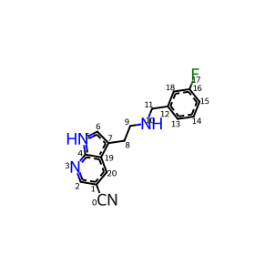 N#Cc1cnc2[nH]cc(CCNCc3cccc(F)c3)c2c1